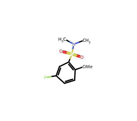 COc1ccc(F)cc1S(=O)(=O)N(C)C